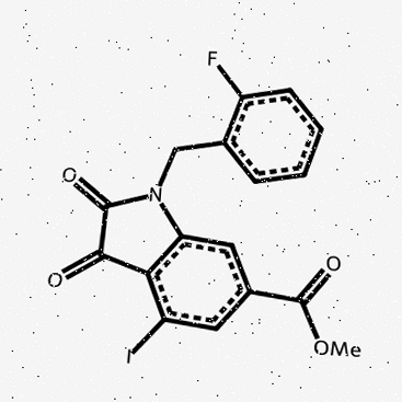 COC(=O)c1cc(I)c2c(c1)N(Cc1ccccc1F)C(=O)C2=O